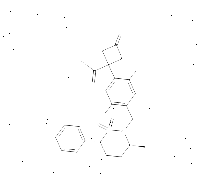 C[C@H]1CC[C@H](c2ccccc2)S(=O)(=O)N1Cc1cc(F)c(C2(C(N)=O)CC(=O)C2)cc1F